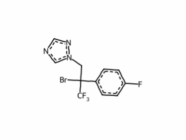 Fc1ccc(C(Br)(Cn2cncn2)C(F)(F)F)cc1